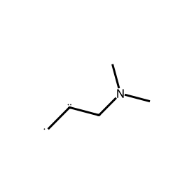 [CH2][C]CN(C)C